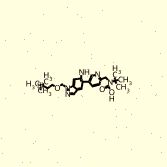 CC(C)(C)N(Cc1ccc(-c2cc3cnn(COCC[Si](C)(C)C)c3cc2N)cn1)C(=O)O